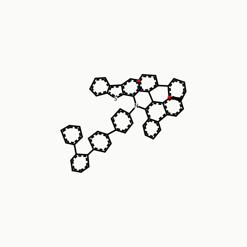 c1ccc(-c2ccccc2-c2ccc(-c3ccc(N(c4c(-c5ccccc5-c5ccccc5)c5ccccc5c5ccccc45)c4cccc5c4sc4ccccc45)cc3)cc2)cc1